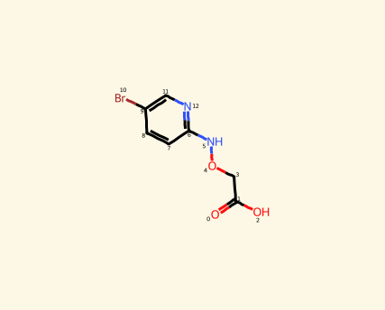 O=C(O)CONc1ccc(Br)cn1